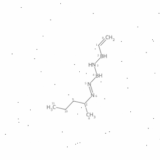 C=CBNBN=NC(C)CCC